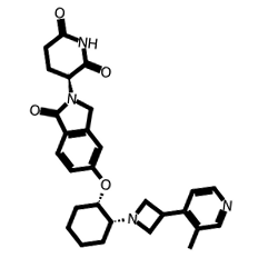 Cc1cnccc1C1CN([C@@H]2CCCC[C@@H]2Oc2ccc3c(c2)CN([C@H]2CCC(=O)NC2=O)C3=O)C1